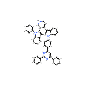 c1ccc(-c2cc(-c3ccc(-n4c5ccccc5c5c6ccncc6c6c(c7ccccc7n6-c6ccccc6)c54)cc3)nc(-c3ccccc3)n2)cc1